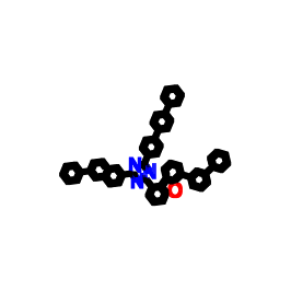 c1ccc(-c2ccc(-c3ccc(-c4nc(-c5ccc6cc(-c7ccccc7)ccc6c5)nc(-c5cccc6oc7c(-c8cccc(-c9ccccc9)c8)cccc7c56)n4)cc3)cc2)cc1